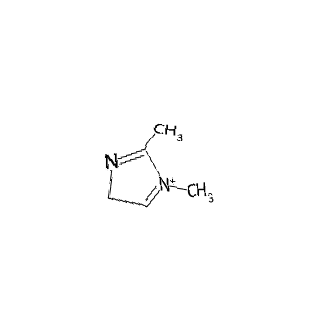 CC1=NCC=[N+]1C